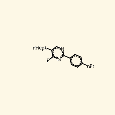 CCCCCCCc1cnc(-c2ccc(CCC)cc2)nc1F